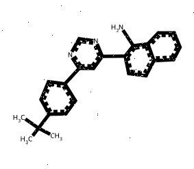 CC(C)(C)c1ccc(-c2cc(-c3ccc4ccccc4c3N)ncn2)cc1